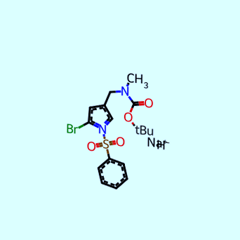 CN(Cc1cc(Br)n(S(=O)(=O)c2ccccc2)c1)C(=O)OC(C)(C)C.[H-].[Na+]